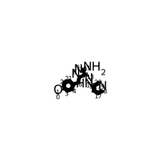 COc1ccc(CC2=NN=C(N)/C2=N/Nc2cccnc2)cc1